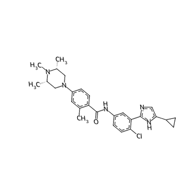 Cc1cc(N2C[C@@H](C)N(C)[C@@H](C)C2)ccc1C(=O)Nc1ccc(Cl)c(-c2ncc(C3CC3)[nH]2)c1